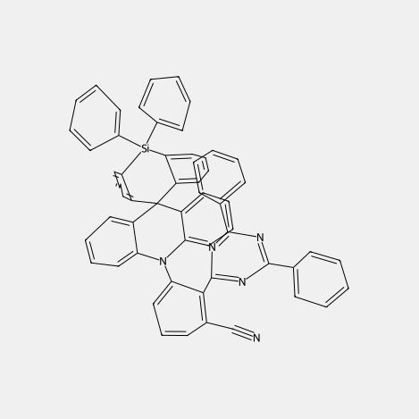 N#Cc1cccc(N2c3ccccc3C3(c4ccccc42)c2ccccc2[Si](c2ccccc2)(c2ccccc2)c2ccccc23)c1-c1nc(-c2ccccc2)nc(-c2ccccc2)n1